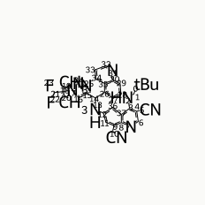 CC(C)(C)CNc1c(C#N)cnc2c(C#N)cc(NC(c3cn(C(C)(C)C(F)F)nn3)c3cccc4ncccc34)cc12